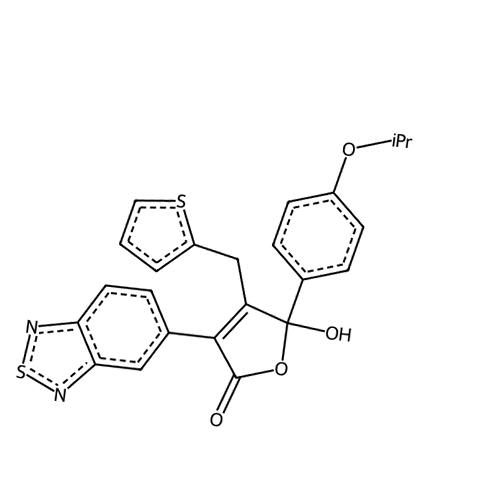 CC(C)Oc1ccc(C2(O)OC(=O)C(c3ccc4nsnc4c3)=C2Cc2cccs2)cc1